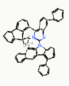 CC1(C)c2ccccc2-c2cccc(-c3nc(-n4c5cc6ccccc6cc5c5c(-c6ccccc6)cccc54)nc4cc(-c5ccccc5)ccc34)c21